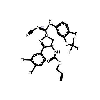 C=CCOC(=O)N[C@@H]1CN(/C(=N\C#N)Nc2ccc(F)c(OC(F)(F)F)c2)N=C1c1ccc(Cl)c(Cl)c1